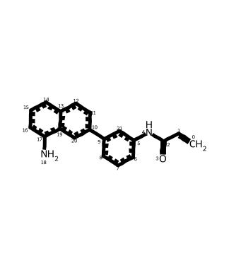 C=CC(=O)Nc1cccc(-c2ccc3cccc(N)c3c2)c1